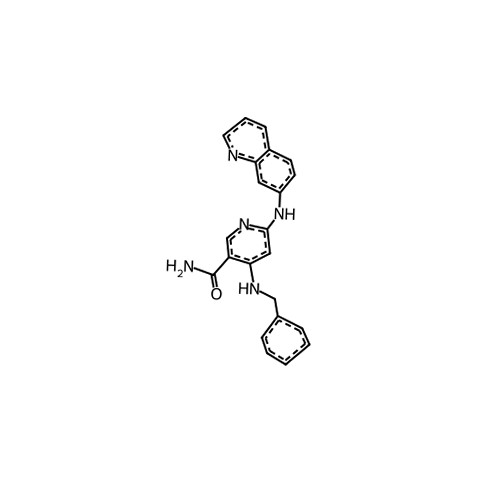 NC(=O)c1cnc(Nc2ccc3cccnc3c2)cc1NCc1ccccc1